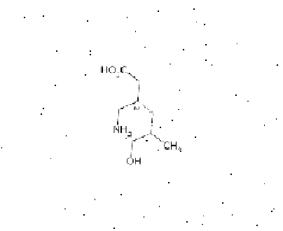 CC(CO)C[C@H](CN)CC(=O)O